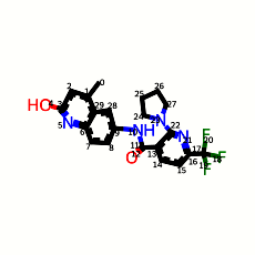 Cc1cc(O)nc2ccc(NC(=O)c3ccc(C(F)(F)F)nc3N3CCCC3)cc12